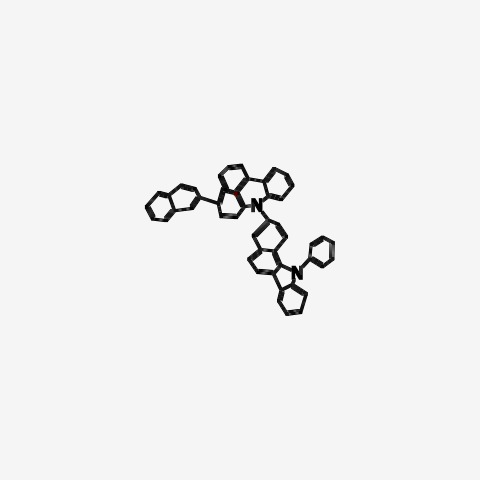 c1ccc(-c2ccccc2N(c2ccc(-c3ccc4ccccc4c3)cc2)c2ccc3c(ccc4c5ccccc5n(-c5ccccc5)c34)c2)cc1